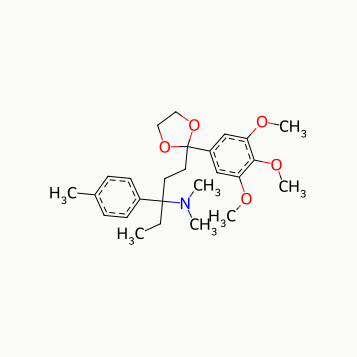 CCC(CCC1(c2cc(OC)c(OC)c(OC)c2)OCCO1)(c1ccc(C)cc1)N(C)C